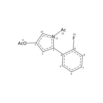 CC(=O)Oc1cc(-c2ccccc2F)n(C(C)=O)c1